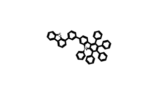 c1ccc(-c2c(-c3ccccc3)c(-c3ccccc3)c3c(c2-c2ccccc2)c2ccc(-c4cccc(-c5cccc6c5sc5ccccc56)c4)cc2n3-c2ccccc2)cc1